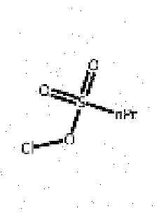 CCCS(=O)(=O)OCl